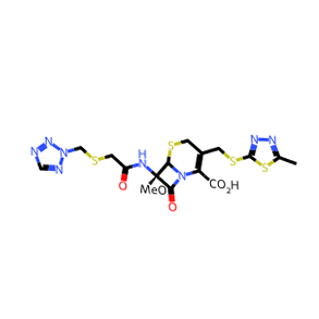 CO[C@]1(NC(=O)CSCn2ncnn2)C(=O)N2C(C(=O)O)=C(CSc3nnc(C)s3)CSC21